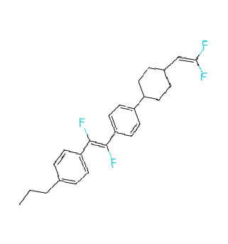 CCCc1ccc(C(F)=C(F)c2ccc(C3CCC(C=C(F)F)CC3)cc2)cc1